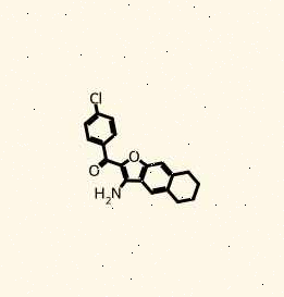 Nc1c(C(=O)c2ccc(Cl)cc2)oc2cc3c(cc12)CCCC3